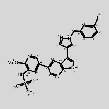 COc1ncc(-c2cnc3[nH]cc(-c4cnn(Cc5cccc(F)c5)c4)c3c2)cc1NS(C)(=O)=O